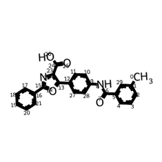 Cc1cccc(C(=O)Nc2ccc(-c3oc(-c4ccccc4)nc3C(=O)O)cc2)c1